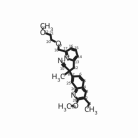 CCc1cc2ccc(C(C)(C#N)Cc3cccc(COCCOC)n3)cc2nc1OC